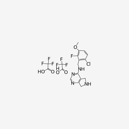 COc1ccc(Cl)c(CNc2ncnc3c2CNC3)c1F.O=C(O)C(F)(F)F.O=C(O)C(F)(F)F